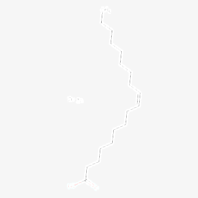 CCCCCCCC/C=C\CCCCCCCC(=O)O.[Zn].[Zn]